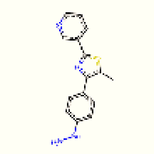 Cc1sc(-c2cccnc2)nc1-c1ccc(NN)cc1